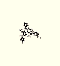 Cc1cc(Nc2ccc(F)cc2)c(C=N)cc1[C@H]1CN(S(=O)(=O)c2cnn(C)n2)CCN1CC1CCCC1